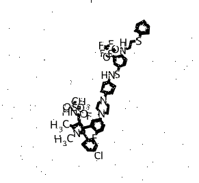 Cc1c(C(=O)NS(C)(=O)=O)c(-c2c(F)ccc(N3CCN(c4ccc(NSc5ccc(NCCSc6ccccc6)c(S(=O)(=O)C(F)(F)F)c5)cc4)CC3)c2F)c(-c2ccc(Cl)cc2)n1C